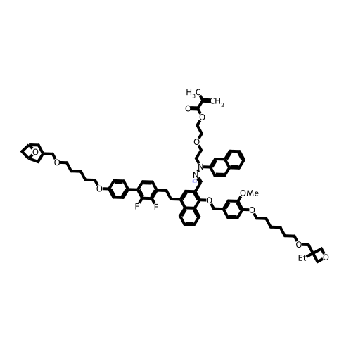 C=C(C)C(=O)OCCOCCN(/N=C/c1cc(CCc2ccc(-c3ccc(OCCCCCOCC4CC5CC(C4)O5)cc3)c(F)c2F)c2ccccc2c1OCc1ccc(OCCCCCCOCC2(CC)COC2)c(OC)c1)c1ccc2ccccc2c1